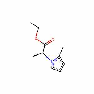 CCOC(=O)C(C)n1cccc1C